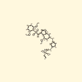 C=CS(=O)(=O)NCc1ccn(Cc2cc(OC)c3c(NS(=O)(=O)c4c(OC)cccc4OC)noc3c2)n1